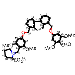 COc1cc(OCc2cccc(-c3cccc(COc4cc(OC)c(CN5CCCC[C@H]5C(=O)O)c(OC)c4)c3C)c2C)cc(OC)c1C=O